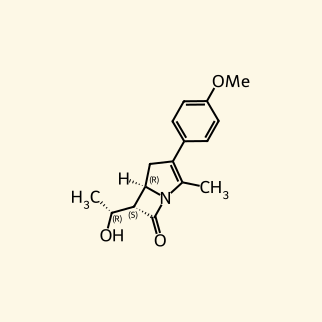 COc1ccc(C2=C(C)N3C(=O)[C@H]([C@@H](C)O)[C@H]3C2)cc1